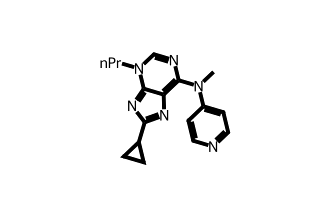 CCCn1cnc(N(C)c2ccncc2)c2nc(C3CC3)nc1-2